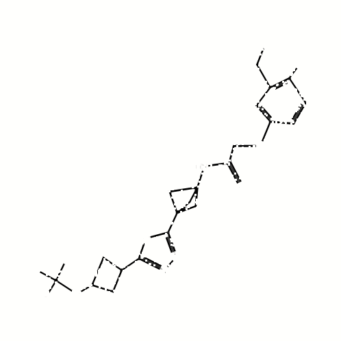 O=C(COc1ccc(Cl)c(CO)c1)NC12CC(c3nnc(C4CC(OC(F)(F)F)C4)o3)(C1)C2